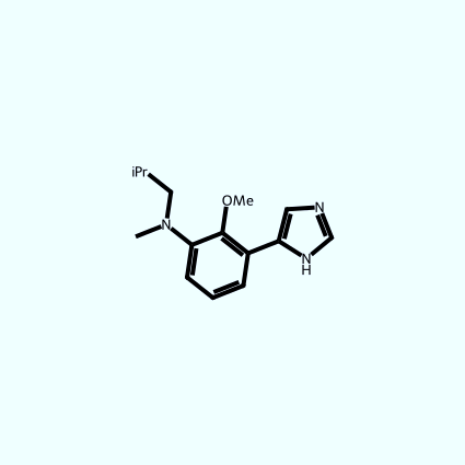 COc1c(-c2cnc[nH]2)cccc1N(C)CC(C)C